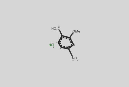 COc1cc([N+](=O)[O-])ccc1C(=O)O.Cl